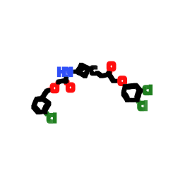 O=C(CCC12CC(NC(=O)COCc3cccc(Cl)c3)(C1)C2)COc1ccc(Cl)c(Cl)c1